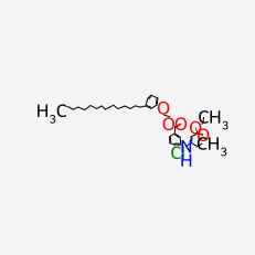 CCCCCCCCCCCCCCCc1cccc(OCCOC(=O)c2ccc(Cl)c(NC(=CC(=O)OCC)CC)c2)c1